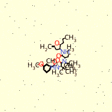 C=C1CC(NC(=O)C(CC)N(C(=O)C(NC(=O)c2cccc(OC)c2C)C(C)(C)C)C(C)C)C(CCC)O1